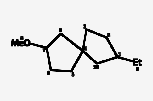 CCC1CCC2(CCC(OC)C2)C1